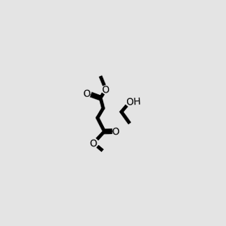 CCO.COC(=O)CCC(=O)OC